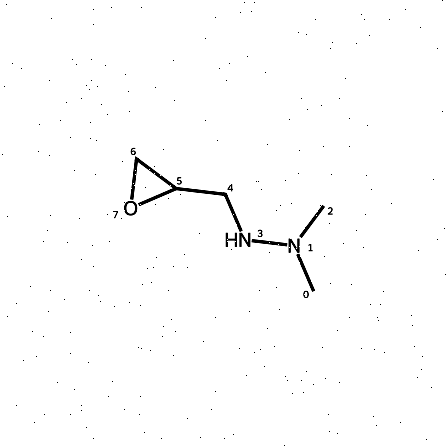 CN(C)NCC1CO1